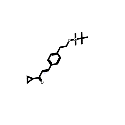 CC(C)(C)[Si](C)(C)OCCc1ccc(/C=C/C(=O)C2CC2)cc1